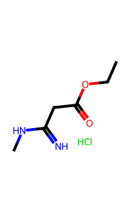 CCOC(=O)CC(=N)NC.Cl